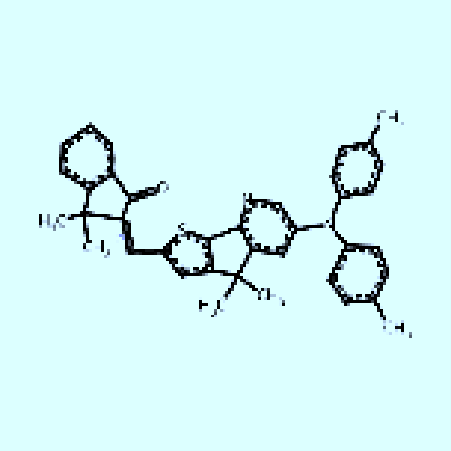 Cc1ccc(N(c2ccc(C)cc2)c2cnc3c(c2)C(C)(C)c2cc(/C=C4\C(=O)c5ccccc5C4(C)C)sc2-3)cc1